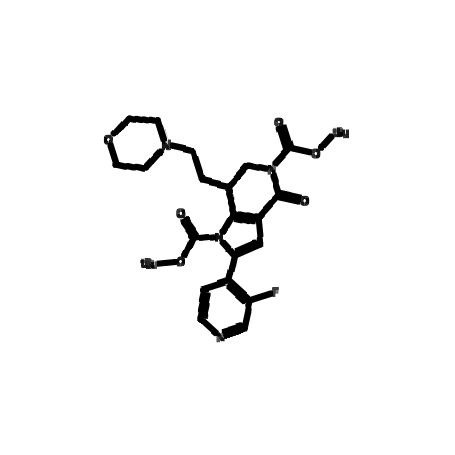 CC(C)(C)OC(=O)N1CC(CCN2CCOCC2)c2c(cc(-c3ccncc3F)n2C(=O)OC(C)(C)C)C1=O